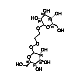 OC[C@H]1OC(OCCOOC2O[C@H](CO)[C@@H](O)[C@H](O)[C@H]2O)[C@H](O)[C@@H](O)[C@@H]1O